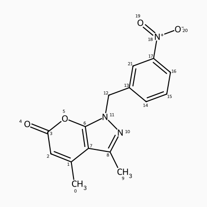 Cc1cc(=O)oc2c1c(C)nn2Cc1cccc([N+](=O)[O-])c1